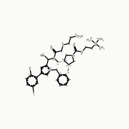 CC(C)(C)C(c1cc(-c2cc(F)ccc2F)cn1Cc1ccccc1)N(C[C@@H]1CN(C(=O)OCC[Si](C)(C)C)C[C@@H]1F)C(=O)CSCCC(=O)O